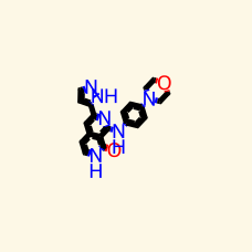 O=c1[nH]ccc2cc(-c3ccn[nH]3)nc(Nc3ccc(N4CCOCC4)cc3)c12